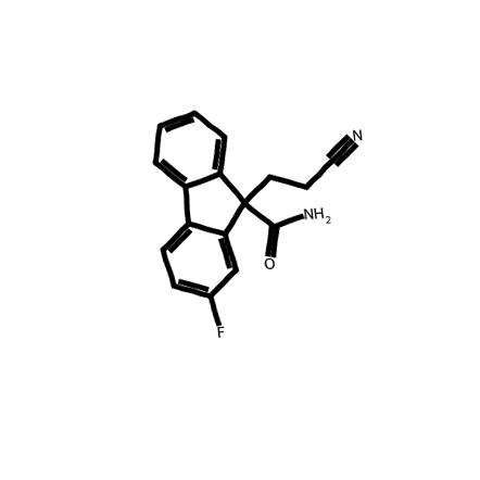 N#CCCC1(C(N)=O)c2ccccc2-c2ccc(F)cc21